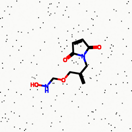 C=C(COCNO)CN1C(=O)C=CC1=O